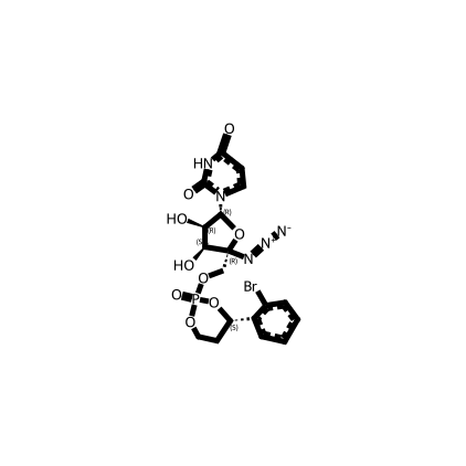 [N-]=[N+]=N[C@]1(COP2(=O)OCC[C@@H](c3ccccc3Br)O2)O[C@@H](n2ccc(=O)[nH]c2=O)[C@H](O)[C@@H]1O